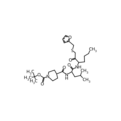 CCCCC(NC(=O)C(CC(C)C)NC(=O)C1CCN(C(=O)OC(C)(C)C)CC1)C(=O)CSCc1ccco1